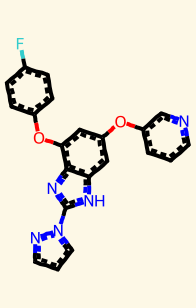 Fc1ccc(Oc2cc(Oc3cccnc3)cc3[nH]c(-n4cccn4)nc23)cc1